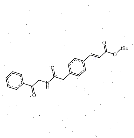 CC(C)(C)OC(=O)/C=C/c1ccc(CC(=O)NCC(=O)c2ccccc2)cc1